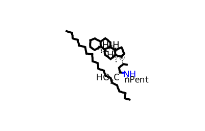 CCCCCCCCCCCCCCCCCCCC.CCCCCNC(CC(C)[C@H]1CC[C@H]2[C@@H]3CCC4CCCC[C@]4(C)[C@H]3CC[C@]12C)C(=O)O